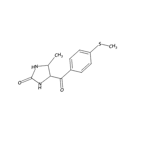 CSc1ccc(C(=O)C2NC(=O)NC2C)cc1